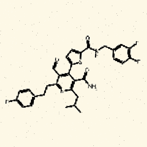 CC(C)Cc1nc(CCc2ccc(F)cc2)c(C=O)c(-c2ccc(C(=O)NCc3ccc(F)c(F)c3)s2)c1C(N)=O